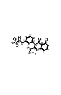 C[C@H](N)c1nc2cccc(Cl)c2c(=O)n1-c1cccc(CNS(C)(=O)=O)c1